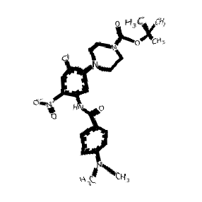 CN(C)c1ccc(C(=O)Nc2cc(N3CCN(C(=O)OC(C)(C)C)CC3)c(Cl)cc2[N+](=O)[O-])cc1